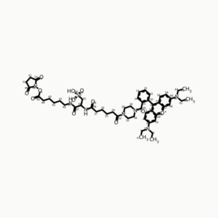 CCN(CC)c1ccc2c(-c3ccccc3C(=O)N3CCN(C(=O)CCCCC(=O)NC(CS(=O)(=O)O)C(=O)NCCCCCC(=O)ON4C(=O)CCC4=O)CC3)c3ccc(N(CC)CC)cc3[o+]c2c1